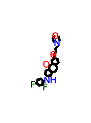 O=C1c2ccc(Nc3ccc(F)cc3F)cc2CCc2ccc(OCCCN3CCOCC3)cc21